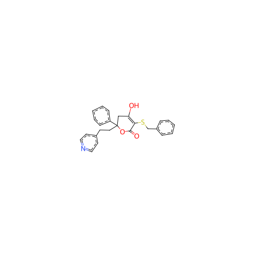 O=C1OC(CCc2ccncc2)(c2ccccc2)CC(O)=C1SCc1ccccc1